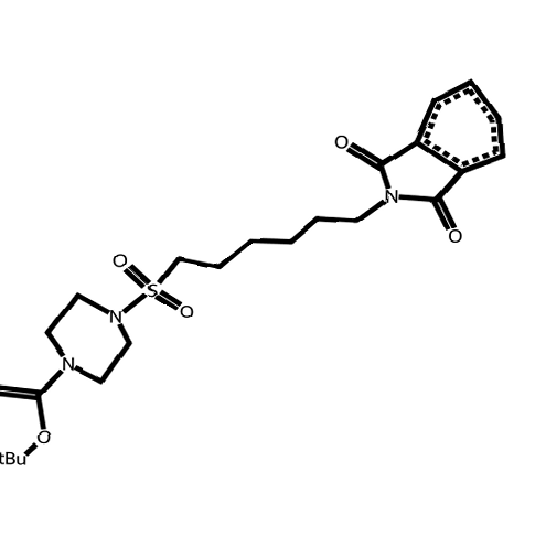 CC(C)(C)OC(=O)N1CCN(S(=O)(=O)CCCCCCN2C(=O)c3ccccc3C2=O)CC1